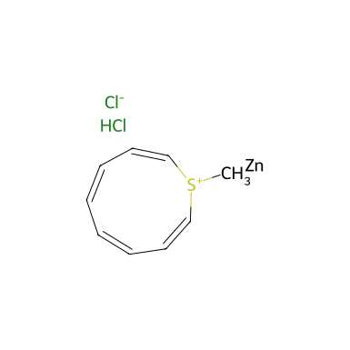 C[s+]1cccccccc1.Cl.[Cl-].[Zn]